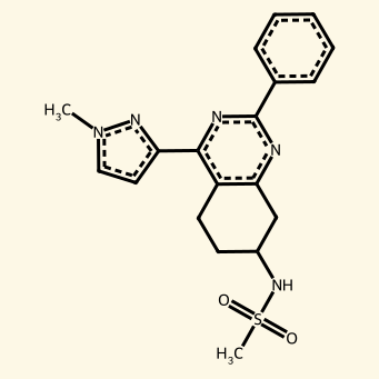 Cn1ccc(-c2nc(-c3ccccc3)nc3c2CCC(NS(C)(=O)=O)C3)n1